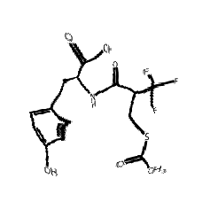 CC(=O)SCC(C(=O)N[C@@H](Cc1ccc(O)cc1)C(=O)O)C(F)(F)F